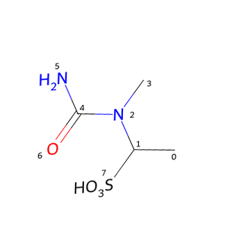 CC(N(C)C(N)=O)S(=O)(=O)O